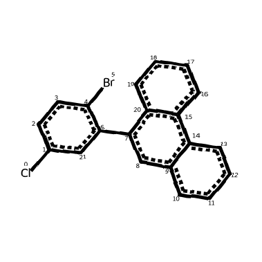 Clc1ccc(Br)c(-c2cc3ccccc3c3ccccc23)c1